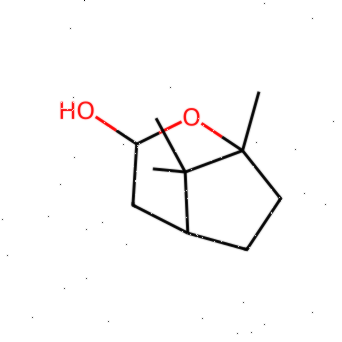 CC12CCC(CC(O)O1)C2(C)C